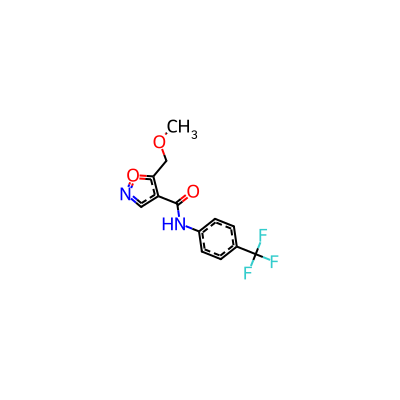 COCc1oncc1C(=O)Nc1ccc(C(F)(F)F)cc1